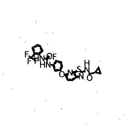 O=C(Nc1cc(Oc2ccc3nc(NC(=O)C4CC4)sc3n2)ccc1F)Nc1ccccc1C(F)(F)F